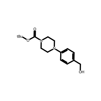 CC(C)(C)OC(=O)N1CCN(c2ccc(CO)cc2)CC1